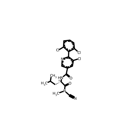 CC(C)C[C@H](NC(=O)c1cnc(-c2c(Cl)cccc2Cl)c(Cl)c1)C(=O)N(C)C#N